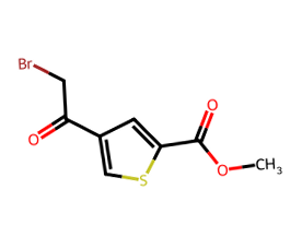 COC(=O)c1cc(C(=O)CBr)cs1